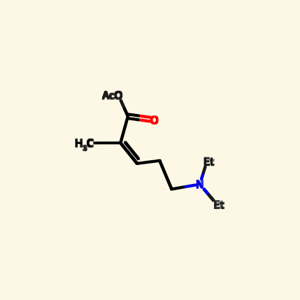 CCN(CC)CCC=C(C)C(=O)OC(C)=O